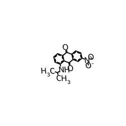 CC(C)Nc1cccc2c1C(=O)c1cc([N+](=O)[O-])ccc1C2=O